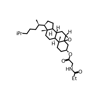 CCC(=O)NCC(=O)O[C@H]1CC[C@]2(C)[C@H]3CC[C@]4(C)[C@@H]([C@H](C)CCCC(C)C)CC[C@H]4[C@@H]3C[C@@H]3OC32C1